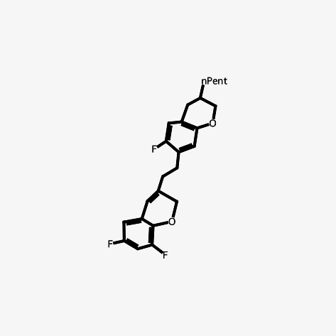 CCCCCC1COc2cc(CCC3=Cc4cc(F)cc(F)c4OC3)c(F)cc2C1